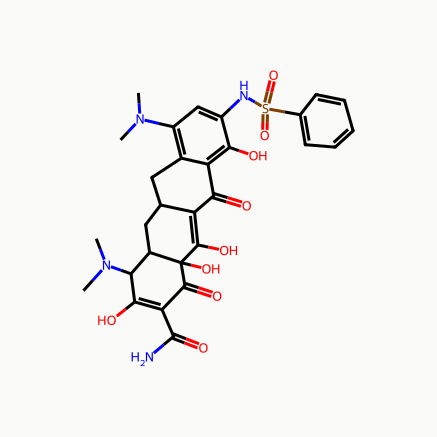 CN(C)c1cc(NS(=O)(=O)c2ccccc2)c(O)c2c1CC1CC3C(N(C)C)C(O)=C(C(N)=O)C(=O)C3(O)C(O)=C1C2=O